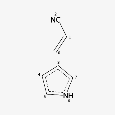 C=CC#N.c1cc[nH]c1